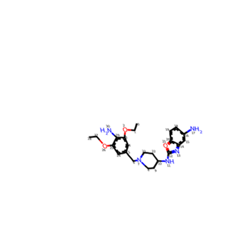 CCOc1cc(CN2CCC(Nc3nc4cc(N)ccc4o3)CC2)cc(OCC)c1N